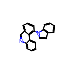 [c]1cccc2ccn(-c3cccc4cnc5ccccc5c34)c12